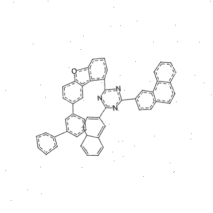 C1=CC2=CC(c3nc(-c4ccc5ccc6ccccc6c5c4)nc(-c4cccc5oc6ccc(-c7cccc(-c8ccccc8)c7)cc6c45)n3)=CCC2C=C1